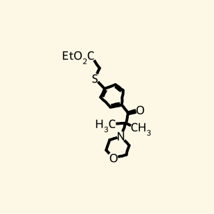 CCOC(=O)CSc1ccc(C(=O)C(C)(C)N2CCOCC2)cc1